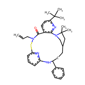 C=CCN1Sc2cccc(n2)NC(c2ccccc2)CCC2CN(c3nc(C(C)(C)C)ccc3C1=O)C(C)(C)C2